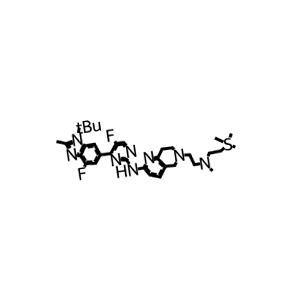 Cc1nc2c(F)cc(-c3nc(Nc4ccc5c(n4)CCN(CCN(C)CCS(C)(C)C)C5)ncc3F)cc2n1C(C)(C)C